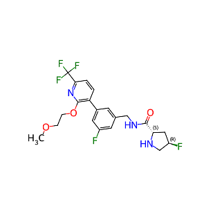 COCCOc1nc(C(F)(F)F)ccc1-c1cc(F)cc(CNC(=O)[C@@H]2C[C@@H](F)CN2)c1